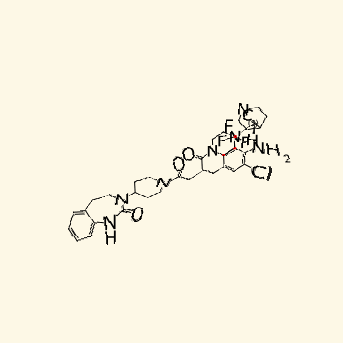 Nc1c(Cl)cc(CC(CC(=O)N2CCC(N3CCc4ccccc4NC3=O)CC2)C(=O)N2CCN([C@@H]3CN4CCC3CC4)CC2)cc1C(F)(F)F